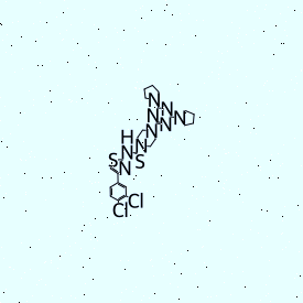 S=C(Nc1nc(-c2ccc(Cl)c(Cl)c2)cs1)N1CCN(c2nc(N3CCCC3)nc(N3CCCC3)n2)CC1